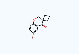 O=C1c2cc(Br)ccc2OCC12CCC2